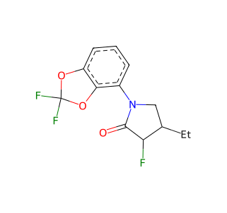 CCC1CN(c2cccc3c2OC(F)(F)O3)C(=O)C1F